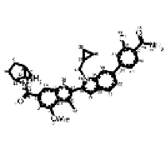 COc1cc(C(=O)N2CC3CCC2[C@@H]3N)cc2sc(-c3cc4ccc(-c5ccc(C(N)=O)c(Cl)c5)cc4n3CC3CC3)c(C)c12